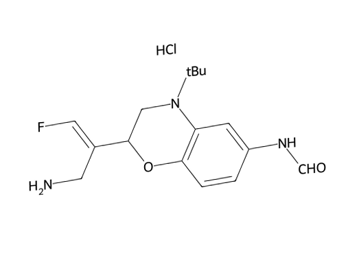 CC(C)(C)N1CC(/C(=C/F)CN)Oc2ccc(NC=O)cc21.Cl